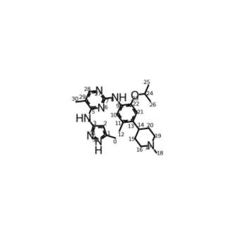 Cc1cc(Nc2nc(Nc3cc(C)c(C4CCN(C)CC4)cc3OC(C)C)ncc2C)n[nH]1